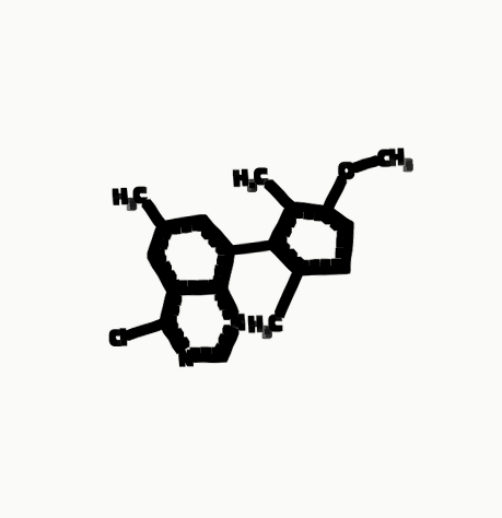 COc1ccc(C)c(-c2cc(C)cc3c(Cl)ncnc23)c1C